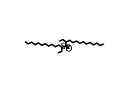 CCCCCCCCCCCC(CC)[Se](=O)C(CC)CCCCCCCCCCC